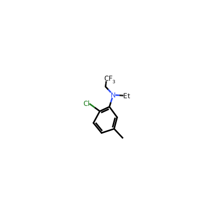 CCN(CC(F)(F)F)c1cc(C)ccc1Cl